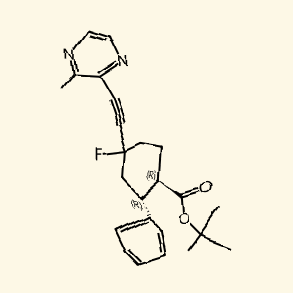 Cc1nccnc1C#CC1(F)CC[C@@H](C(=O)OC(C)(C)C)[C@H](c2ccccc2)C1